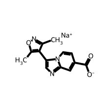 Cc1noc(C)c1-c1cnc2cc(C(=O)[O-])ccn12.[Na+]